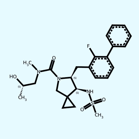 C[C@H](O)CN(C)C(=O)N1CC2(CC2)[C@H](NS(C)(=O)=O)[C@@H]1Cc1cccc(-c2ccccc2)c1F